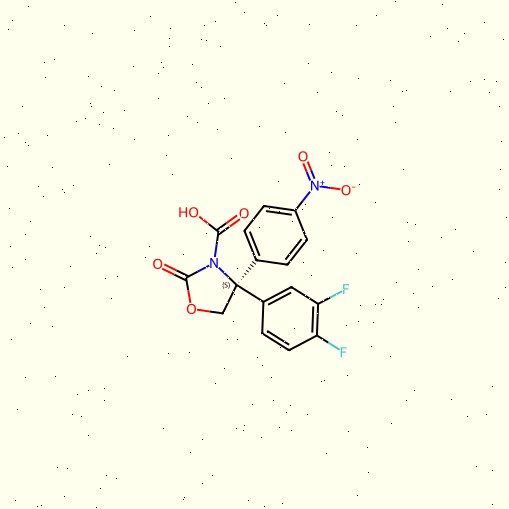 O=C(O)N1C(=O)OC[C@]1(c1ccc([N+](=O)[O-])cc1)c1ccc(F)c(F)c1